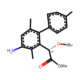 COC(=O)[C@@H](OC(C)(C)C)c1c(C)c(N)cc(C)c1-c1ccc(C)cc1